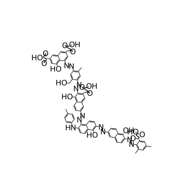 Cc1ccc(Nc2ccc3c(O)c(N=Nc4ccc5c(O)c(N=Nc6c(C)cc(C)cc6S(=O)(=O)O)ccc5c4)ccc3c2N=Nc2ccc3c(O)c(N=Nc4cc(C)c(N=Nc5cc(S(=O)(=O)O)cc6cc(S(=O)(=O)O)cc(O)c56)cc4CO)c(S(=O)(=O)O)cc3c2)cc1